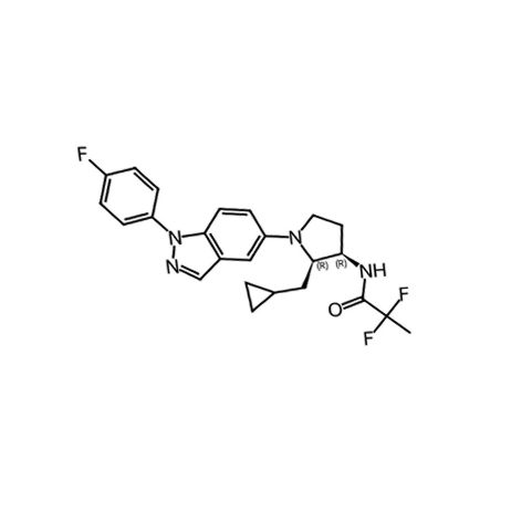 CC(F)(F)C(=O)N[C@@H]1CCN(c2ccc3c(cnn3-c3ccc(F)cc3)c2)[C@@H]1CC1CC1